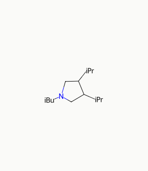 CCC(C)N1CC(C(C)C)C(C(C)C)C1